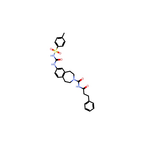 Cc1ccc(S(=O)(=O)NC(=O)Nc2ccc3c(c2)CCN(C(=O)NC(=O)CCc2ccccc2)CC3)cc1